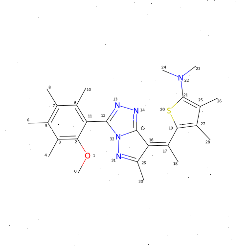 COc1c(C)c(C)c(C)c(C)c1-c1nnc2/c(=C(/C)c3sc(N(C)C)c(C)c3C)c(C)nn12